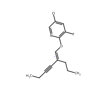 CCC#C/C(=C/Oc1ncc(Cl)cc1F)CCC